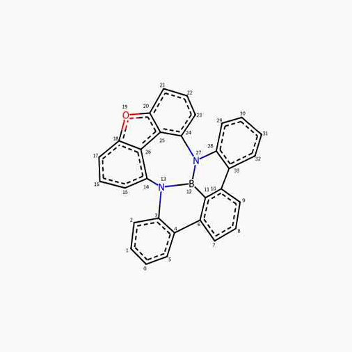 c1ccc2c(c1)-c1cccc3c1B1N2c2cccc4oc5cccc(c5c24)N1c1ccccc1-3